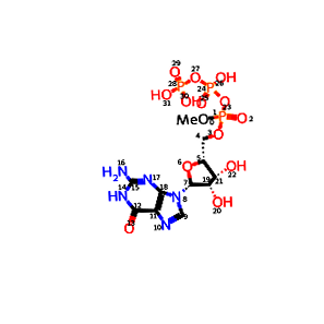 COP(=O)(OC[C@H]1O[C@@H](n2cnc3c(=O)[nH]c(N)nc32)[C@@H](O)[C@H]1O)OP(=O)(O)OP(=O)(O)O